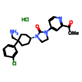 COC(=O)c1cc(N2CCN([C@H]3CC[C@@](CN)(c4cccc(Cl)c4)CC3)C2=O)ccn1.Cl